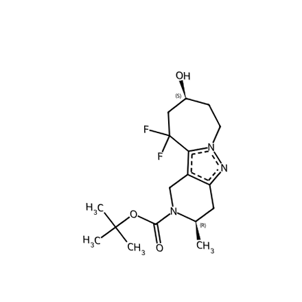 C[C@@H]1Cc2nn3c(c2CN1C(=O)OC(C)(C)C)C(F)(F)C[C@@H](O)CC3